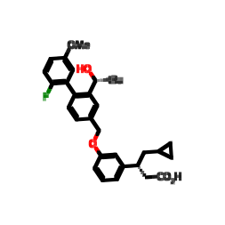 COc1ccc(F)c(-c2ccc(COc3cccc([C@@H](CC(=O)O)CC4CC4)c3)cc2[C@H](O)C(C)(C)C)c1